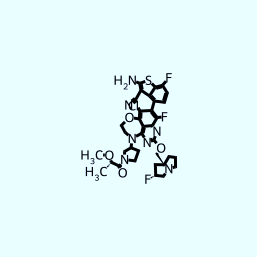 CO[C@@H](C)C(=O)N1CCC(N2CCOc3c(Cl)c(-c4ccc(F)c5sc(N)c(C#N)c45)c(F)c4nc(OC[C@@]56CCCN5C[C@H](F)C6)nc2c34)C1